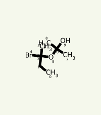 CCC(C)(Br)OC(C)(C)O